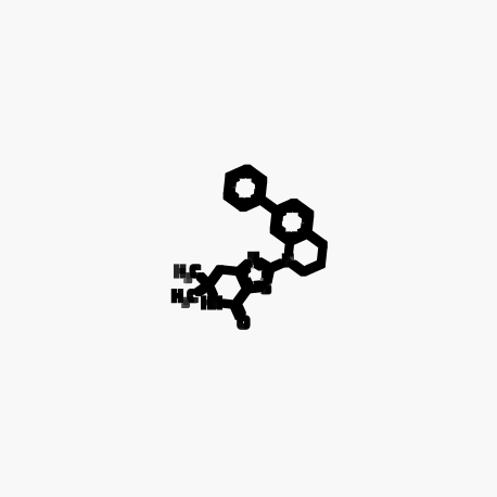 CC1(C)Cc2nc(N3CCCc4ccc(-c5ccccc5)cc43)sc2C(=O)N1